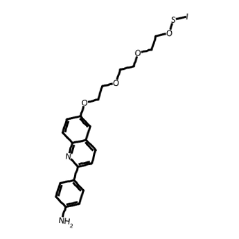 Nc1ccc(-c2ccc3cc(OCCOCCOCCOSI)ccc3n2)cc1